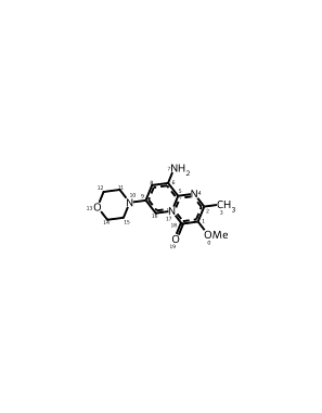 COc1c(C)nc2c(N)cc(N3CCOCC3)cn2c1=O